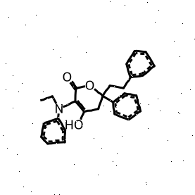 CCN(C1=C(O)CC(CCc2ccccc2)(c2ccccc2)OC1=O)c1ccccc1